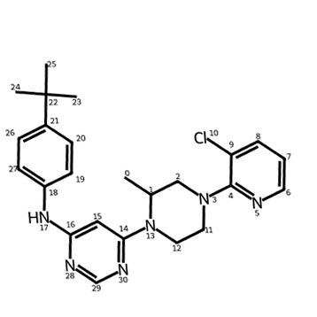 CC1CN(c2ncccc2Cl)CCN1c1cc(Nc2ccc(C(C)(C)C)cc2)ncn1